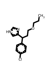 CCCOCCC(c1ccc(Cl)cc1)c1c[nH]cn1